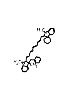 CN1/C(=C/C=C/C=C/C=C/C=C/C2=[N+](C)c3ccccc3C2(C)Cc2ccccc2)C2(CCCCC2)c2ccccc21